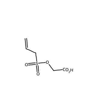 C=CCS(=O)(=O)OCC(=O)O